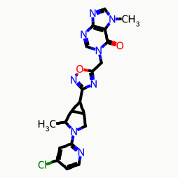 CC1C2C(CN1c1cc(Cl)ccn1)C2c1noc(Cn2cnc3ncn(C)c3c2=O)n1